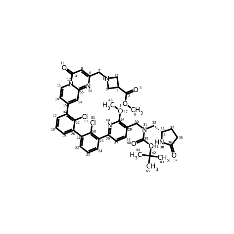 COC(=O)C1CN(Cc2cc(=O)n3ccc(-c4cccc(-c5cccc(-c6ccc(CN(C[C@@H]7CCC(=O)N7)C(=O)OC(C)(C)C)c(OC)n6)c5Cl)c4Cl)cc3n2)C1